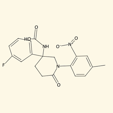 Cc1ccc(N2CC(NC(=O)O)(c3cccc(F)c3)CCC2=O)c([N+](=O)[O-])c1